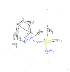 CN.CS(N)(=O)=O.Cl.c1cc2ccc1-2